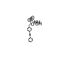 CC(CCCc1ccc(C#Cc2ccccc2)cc1)(C(=O)NO)S(C)(=O)=O